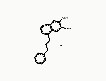 COc1cc2nccc(CCCc3ccccc3)c2cc1OC.Cl